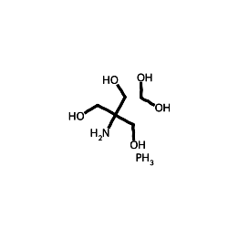 NC(CO)(CO)CO.OCO.P